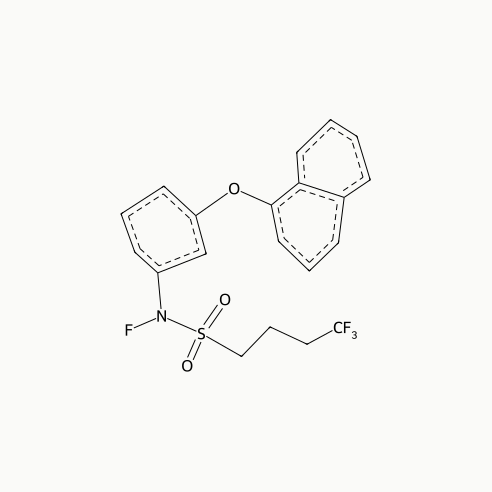 O=S(=O)(CCCC(F)(F)F)N(F)c1cccc(Oc2cccc3ccccc23)c1